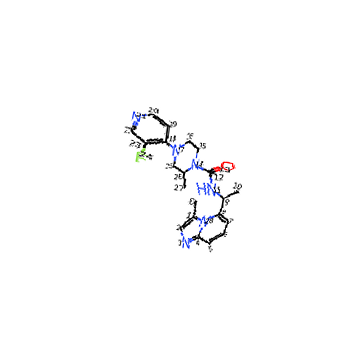 Cc1cnc2cccc([C@H](C)NC(=O)N3CCN(c4ccncc4F)CC3C)n12